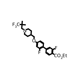 CCOC(=O)c1ccc(-c2ccc(OCC3CCN(CC(C)(C)C(F)(F)F)CC3)cc2F)cc1F